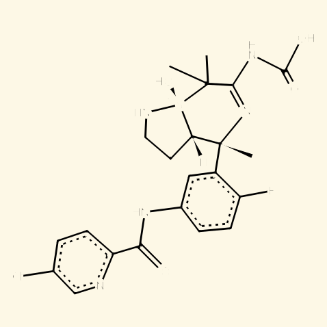 CC1(C)C(NC(=O)O)=N[C@](C)(c2cc(NC(=O)c3ccc(Cl)cn3)ccc2F)[C@@H]2CCN[S@@]21O